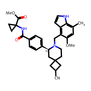 COC(=O)C1(NC(=O)c2ccc([C@@H]3CC4(CCN3Cc3c(OC)cc(C)c5[nH]ccc35)CC(C#N)C4)cc2)CC1